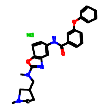 CN1CCC(CN(C)c2nc3cc(NC(=O)c4cccc(Oc5ccccc5)c4)ccc3o2)C1.Cl